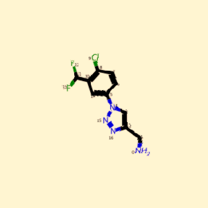 NCc1cn(-c2ccc(Cl)c(C(F)F)c2)nn1